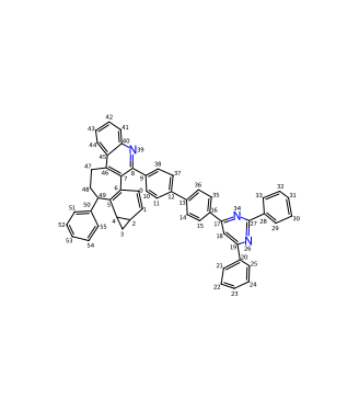 C1=CC2CC2C2=C1c1c(-c3ccc(-c4ccc(-c5cc(-c6ccccc6)nc(-c6ccccc6)n5)cc4)cc3)nc3ccccc3c1CCC2c1ccccc1